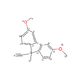 C#CC(C)(c1ccc(OC)cc1)c1ccc(OC)cc1